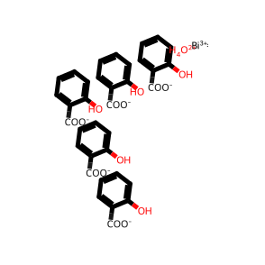 O=C([O-])c1ccccc1O.O=C([O-])c1ccccc1O.O=C([O-])c1ccccc1O.O=C([O-])c1ccccc1O.O=C([O-])c1ccccc1O.[Bi+3].[OH4+2]